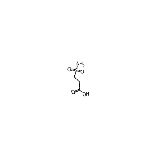 NS(=O)(=O)CCC(=O)O